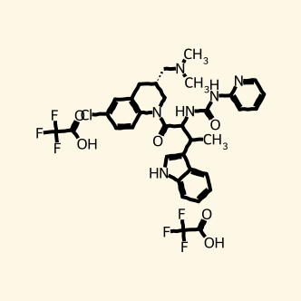 CC(c1c[nH]c2ccccc12)C(NC(=O)Nc1ccccn1)C(=O)N1C[C@@H](CN(C)C)Cc2cc(Cl)ccc21.O=C(O)C(F)(F)F.O=C(O)C(F)(F)F